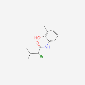 Cc1cccc(NC(=O)C(Br)C(C)C)c1O